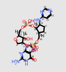 Nc1nc2c(ncn2[C@@]23CO[C@@H](COP(=O)(O)O[C@H]4C(Nc5ccncn5)CC[C@H]4COP(=O)(O)O2)[C@H]3O)c(=O)[nH]1